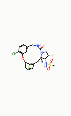 CS(=O)(=O)N[C@H]1[C@@H](F)CN2C(=O)NCc3ccc(Cl)c(c3)Oc3cccc(c3F)C[C@@H]12